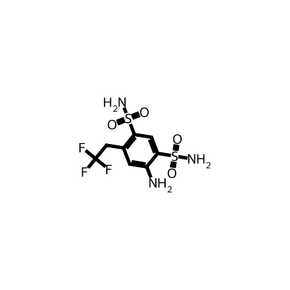 Nc1cc(CC(F)(F)F)c(S(N)(=O)=O)cc1S(N)(=O)=O